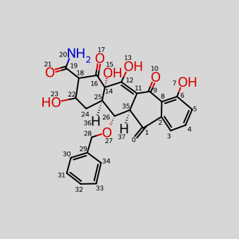 C=C1c2cccc(O)c2C(=O)C2=C(O)[C@]3(O)C(=O)C(C(N)=O)C(O)C[C@@H]3[C@@H](OCc3ccccc3)[C@H]12